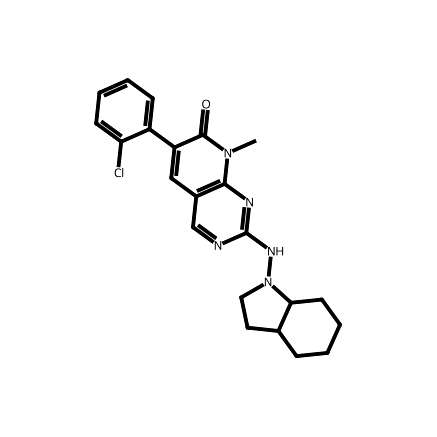 Cn1c(=O)c(-c2ccccc2Cl)cc2cnc(NN3CCC4CCCCC43)nc21